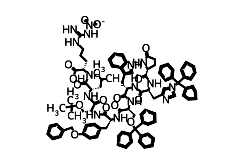 CC(C)C[C@H](NC(=O)[C@@H](COC(C)(C)C)NC(=O)[C@H](Cc1ccc(OCc2ccccc2)cc1)NC(=O)[C@H](COC(c1ccccc1)(c1ccccc1)c1ccccc1)NC(=O)[C@H](Cc1c[nH]c2ccccc12)NC(=O)[C@H](Cc1cn(C(c2ccccc2)(c2ccccc2)c2ccccc2)cn1)NC(=O)[C@@H]1CCC(=O)N1)C(=O)N[C@@H](CCCNC(=N)N[N+](=O)[O-])C(=O)O